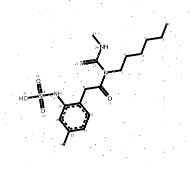 CCCCCCN(C(=O)Cc1ccc(C)cc1NS(=O)(=O)O)C(=S)NC